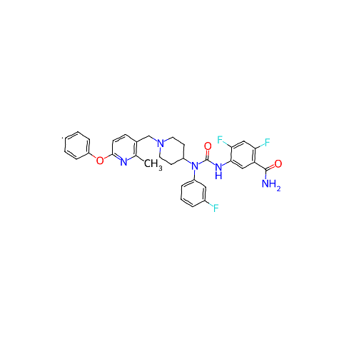 Cc1nc(Oc2cc[c]cc2)ccc1CN1CCC(N(C(=O)Nc2cc(C(N)=O)c(F)cc2F)c2cccc(F)c2)CC1